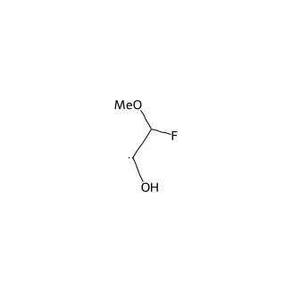 COC(F)[CH]O